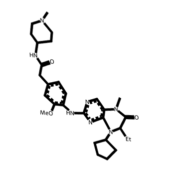 CCC1C(=O)N(C)c2cnc(Nc3ccc(CC(=O)NC4CCN(C)CC4)cc3OC)nc2N1C1CCCC1